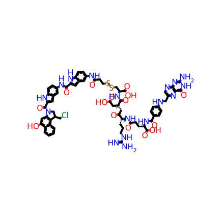 N=C(N)NCCC[C@@H](NC(=O)CC[C@@H](NC(=O)c1ccc(NCc2cnc3nc(N)[nH]c(=O)c3n2)cc1)C(=O)O)C(=O)C[C@H](CC(=O)O)C(=O)NC(CSSCCC(=O)Nc1ccc2[nH]c(C(=O)Nc3ccc4[nH]c(C(=O)N5CC(CCl)c6c5cc(O)c5ccccc65)cc4c3)cc2c1)C(=O)O